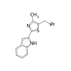 Cc1nc(-c2cc3ccccc3[nH]2)sc1CC(C)C